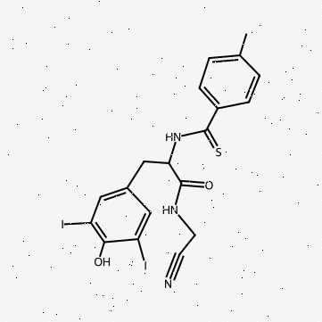 Cc1ccc(C(=S)NC(Cc2cc(I)c(O)c(I)c2)C(=O)NCC#N)cc1